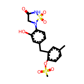 Cc1ccc(OS(C)(=O)=O)c(Cc2ccc(N3CC(=O)NS3(=O)=O)c(O)c2)c1